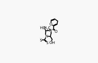 C[N+]1(C(=O)C2=CCC=CO2)CC(CO)N(C(=S)[S-])CC1O